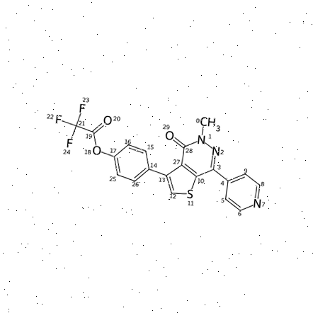 Cn1nc(-c2ccncc2)c2scc(-c3ccc(OC(=O)C(F)(F)F)cc3)c2c1=O